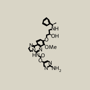 COc1c(OC[C@H](O)CN[C@H](C)c2ccccc2)ccc2c1N=C(NC(=O)Oc1cnc(N)nc1)N1CCN=C21